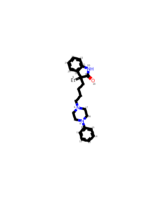 CCC1(CCCCN2CCN(c3ccccc3)CC2)C(=O)Nc2ccccc21